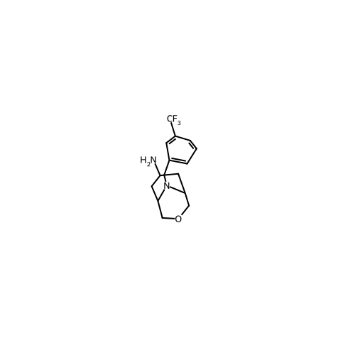 NC1CC2COCC(C1)N2Cc1cccc(C(F)(F)F)c1